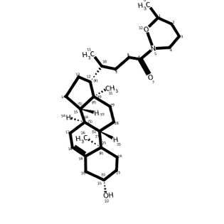 CC1CCCN(C(=O)CCC(C)[C@H]2CC[C@H]3[C@@H]4CC=C5C[C@@H](O)CC[C@]5(C)[C@H]4CC[C@]23C)O1